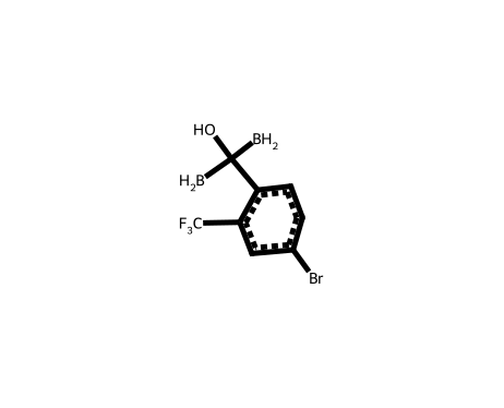 BC(B)(O)c1ccc(Br)cc1C(F)(F)F